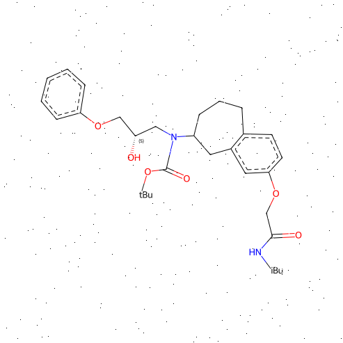 CCC(C)NC(=O)COc1ccc2c(c1)CC(N(C[C@H](O)COc1ccccc1)C(=O)OC(C)(C)C)CCC2